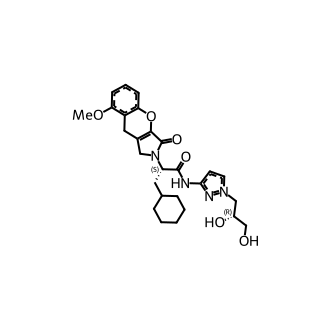 COc1cccc2c1CC1=C(O2)C(=O)N([C@@H](CC2CCCCC2)C(=O)Nc2ccn(C[C@@H](O)CO)n2)C1